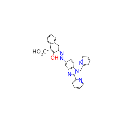 O=C(O)c1c(O)c(/N=N/c2ccc3c(c2)nc(-c2ccccn2)n3Cc2ccccn2)cc2ccccc12